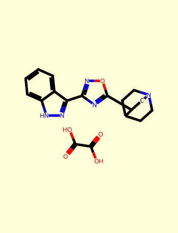 O=C(O)C(=O)O.c1ccc2c(-c3noc(C4CN5CCC4CC5)n3)n[nH]c2c1